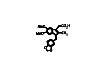 COc1cc2c(cc1OC)/C(=C\c1ccc3c(c1)OCO3)C(C)=C2CC(=O)O